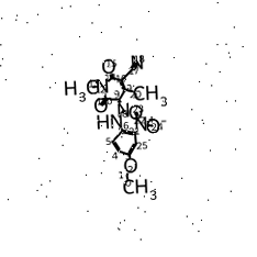 CCOc1ccc(N/N=C2\C(=O)N(C)C(=O)C(C#N)=C2C)c([N+](=O)[O-])c1